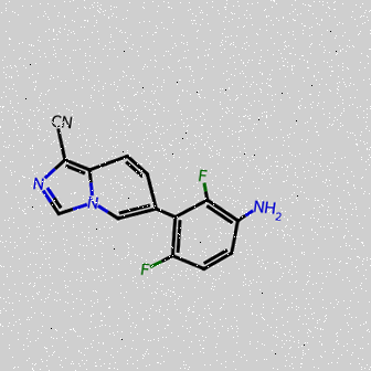 N#Cc1ncn2cc(-c3c(F)ccc(N)c3F)ccc12